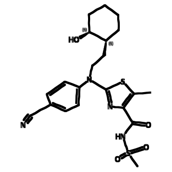 Cc1sc(N(CC[C@@H]2CCCC[C@@H]2O)c2ccc(C#N)cc2)nc1C(=O)NS(C)(=O)=O